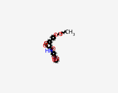 CCCCOCCOc1ccc(-c2ccc3c(c2)C=C(C(=O)Nc2ccc(CP4(=O)OCCCO4)cc2)CCS3(=O)=O)cc1